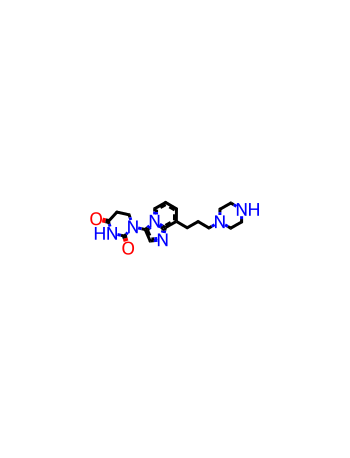 O=C1CCN(c2cnc3c(CCCN4CCNCC4)cccn23)C(=O)N1